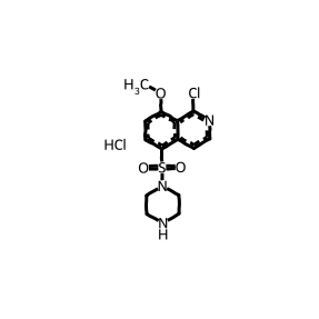 COc1ccc(S(=O)(=O)N2CCNCC2)c2ccnc(Cl)c12.Cl